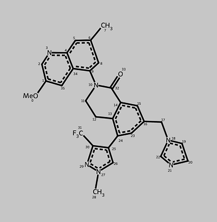 COc1cnc2cc(C)cc(N3CCc4c(cc(Cn5ccnc5)cc4-c4cn(C)nc4C(F)(F)F)C3=O)c2c1